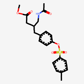 COC(=O)CC(CNC(C)=O)Cc1ccc(OS(=O)(=O)c2ccc(C)cc2)cc1